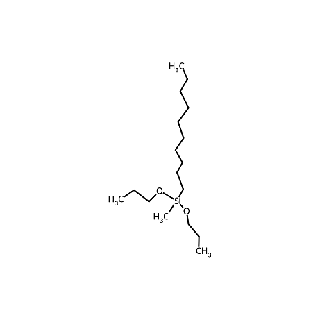 CCCCCCCCCC[Si](C)(OCCC)OCCC